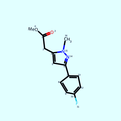 COC(=O)Cc1cc(-c2ccc(F)cc2)nn1C